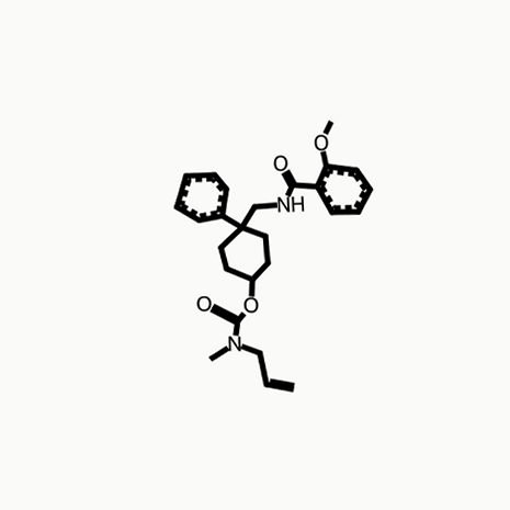 C=CCN(C)C(=O)OC1CCC(CNC(=O)c2ccccc2OC)(c2ccccc2)CC1